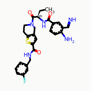 CC[C@@H](NC(=O)c1ccc(N)c(C=N)c1)C(=O)N1CCc2sc(C(=O)NCc3cccc(F)c3)cc2C1